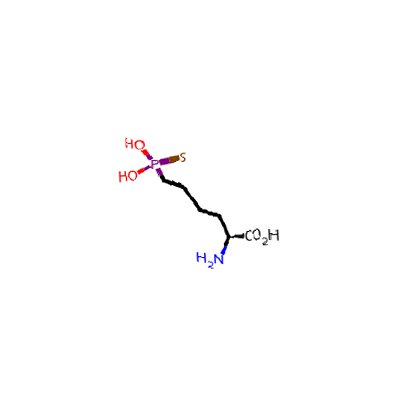 N[C@@H](CCCCP(O)(O)=S)C(=O)O